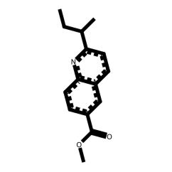 CCC(C)c1ccc2cc(C(=O)OC)ccc2n1